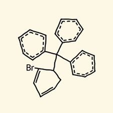 BrC1=CC=CCC1C(c1ccccc1)(c1ccccc1)c1ccccc1